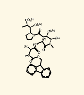 CC[C@H](C)[C@@H]([C@@H](CC(=O)N1CCC[C@H]1[C@H](OC)[C@@H](C)C(=O)O)OC)N(C)C(=O)[C@@H](NC(=O)[C@H](C(C)C)N(C)C(=O)OCC1c2ccccc2-c2ccccc21)C(C)C